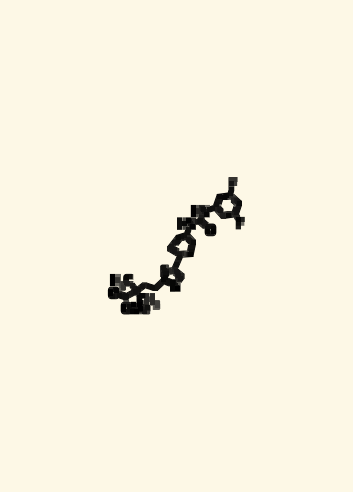 COC(=O)C(C)(C)CCc1ncc(-c2ccc(NC(=O)Nc3cc(F)cc(F)c3)cc2)s1